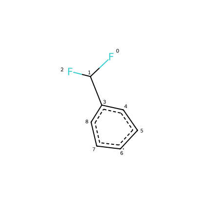 FC(F)c1cc[c]cc1